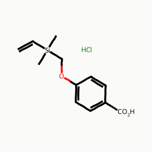 C=C[Si](C)(C)COc1ccc(C(=O)O)cc1.Cl